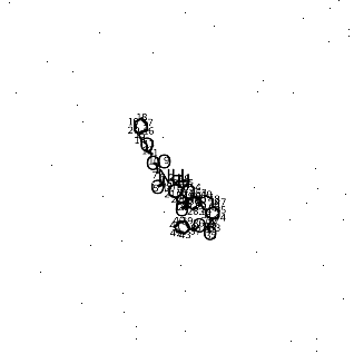 CC1(C)[C@@H](C(=O)NCC(=O)OCCOCc2ccccc2)CC[C@]2(C)[C@H]3C(=O)C=C4C5C[C@@](C)(C(=O)OCc6ccccc6)CC[C@]5(C)CC[C@@]4(C)[C@]3(C)CC[C@@H]12